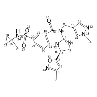 Cc1cc([C@@H]2CN=C3N(Cc4cnn(C)c4)C(=O)c4cc(S(=O)(=O)NC5(C)CC5)ccc4N32)on1